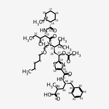 CCCCCOCN(C(=O)[C@@H](NC(=O)[C@H]1CCCCN1C)C(C)CC)[C@H](C[C@@H](OC(C)=O)c1nc(C(=O)N[C@@H](Cc2ccccc2)CC(C)C(=O)O)cs1)C(C)C